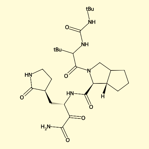 CC(C)(C)NC(=O)NC(C(=O)N1CC2CCC[C@@H]2[C@H]1C(=O)N[C@@H](C[C@@H]1CCNC1=O)C(=O)C(N)=O)C(C)(C)C